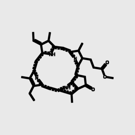 C/C=C1/c2cc3nc(cc4[nH]c5c(c6nc(cc([nH]2)C1C)C(C)C6CCC(=O)OC)CC(=O)c5c4C)C(CC)=C3C